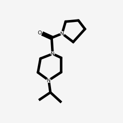 CC(C)N1CCN(C(=O)N2CCCC2)CC1